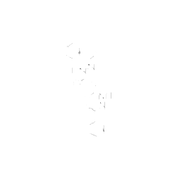 CN(NC(=O)SC(=O)NN(C)C(=S)c1ccccc1)C(=S)c1ccccc1